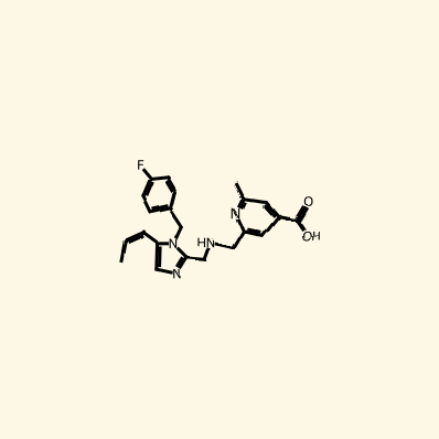 C/C=C\c1cnc(CNCc2cc(C(=O)O)cc(C)n2)n1Cc1ccc(F)cc1